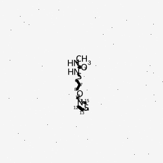 CNC(=O)NSCCCOCN1C=CSC1